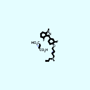 C=CCN(C)C/C=C/COc1ccc(-c2nn(C)c3cccc(F)c23)cc1F.O=C(O)/C=C/C(=O)O